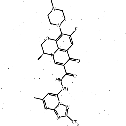 Cc1cc(NNC(=O)c2cn3c4c(c(N5CCN(C)CC5)c(F)cc4c2=O)OC[C@@H]3C)n2nc(C(F)(F)F)nc2n1